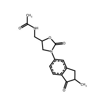 CC(=O)NCC1CN(c2ccc3c(c2)CC(C)C3=O)C(=O)O1